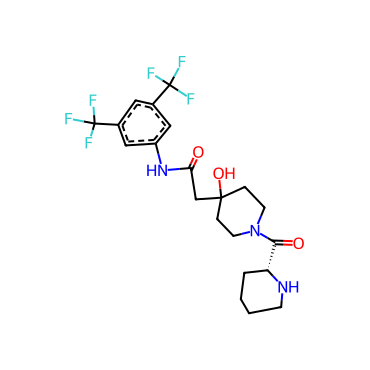 O=C(CC1(O)CCN(C(=O)[C@H]2CCCCN2)CC1)Nc1cc(C(F)(F)F)cc(C(F)(F)F)c1